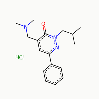 CC(C)Cn1nc(-c2ccccc2)cc(CN(C)C)c1=O.Cl